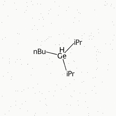 CCC[CH2][GeH]([CH](C)C)[CH](C)C